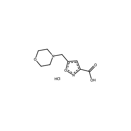 Cl.O=C(O)c1cc(CN2CCOCC2)on1